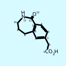 O=C(O)Cc1ccc2c(c1)CCCNC2=O